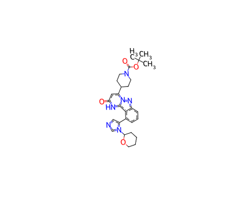 CC(C)(C)OC(=O)N1CCC(c2cc(=O)[nH]c3c4c(-c5cncn5C5CCCCO5)cccc4nn23)CC1